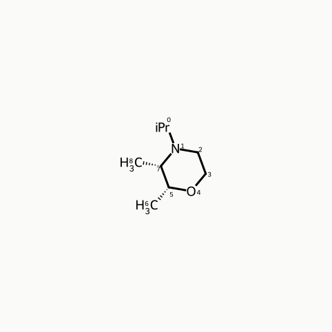 CC(C)N1CCO[C@H](C)[C@@H]1C